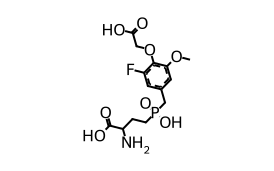 COc1cc(CP(=O)(O)CCC(N)C(=O)O)cc(F)c1OCC(=O)O